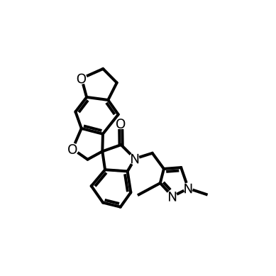 Cc1nn(C)cc1CN1C(=O)C2(COc3cc4c(cc32)CCO4)c2ccccc21